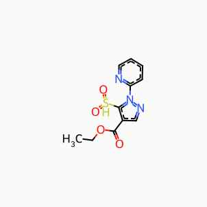 CCOC(=O)c1cnn(-c2ccccn2)c1[SH](=O)=O